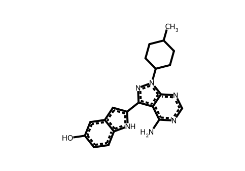 CC1CCC(n2nc(-c3cc4cc(O)ccc4[nH]3)c3c(N)ncnc32)CC1